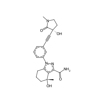 CN1CC[C@@](O)(C#Cc2cccc(-n3nc(C(N)=O)c4c3CCC[C@@]4(C)O)c2)C1=O